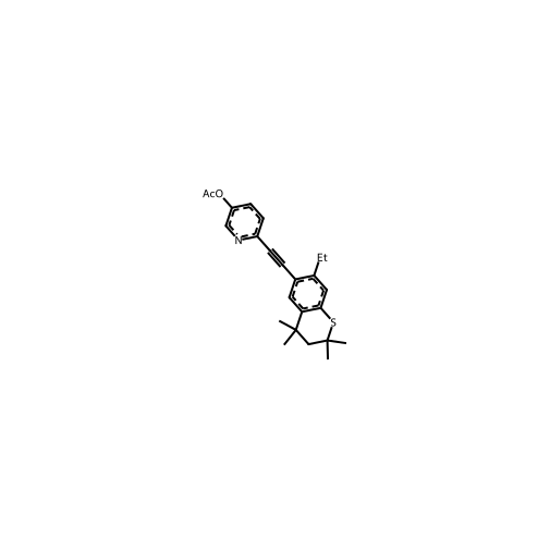 CCc1cc2c(cc1C#Cc1ccc(OC(C)=O)cn1)C(C)(C)CC(C)(C)S2